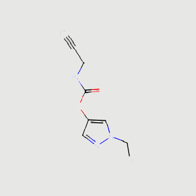 C#CCNC(=O)Oc1cnn(CC)c1